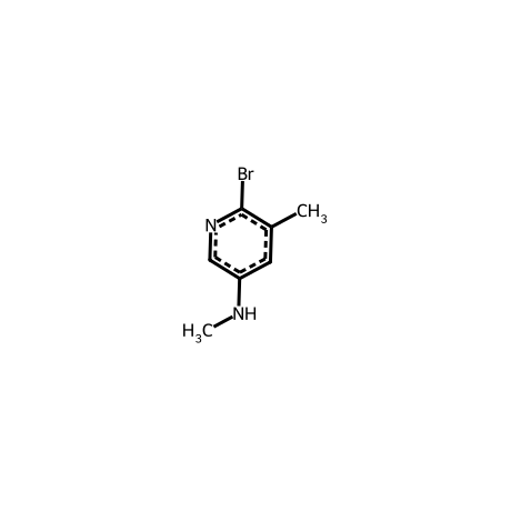 CNc1cnc(Br)c(C)c1